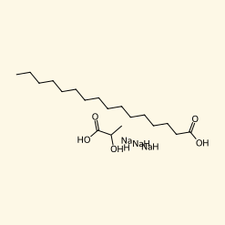 CC(O)C(=O)O.CCCCCCCCCCCCCCCC(=O)O.[NaH].[NaH].[NaH]